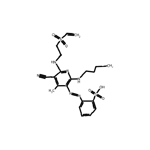 C=CS(=O)(=O)CCNc1nc(NCCCC)c(/N=N/c2ccccc2S(=O)(=O)O)c(C)c1C#N